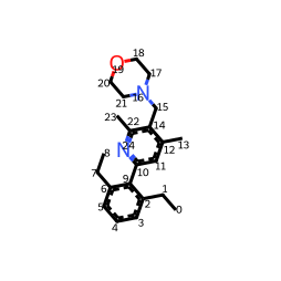 CCc1cccc(CC)c1-c1cc(C)c(CN2CCOCC2)c(C)n1